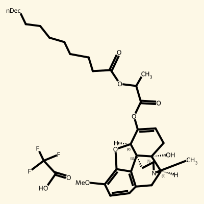 CCCCCCCCCCCCCCCCCC(=O)OC(C)C(=O)OC1=CC[C@@]2(O)[C@H]3Cc4ccc(OC)c5c4[C@@]2(CCN3C)[C@H]1O5.O=C(O)C(F)(F)F